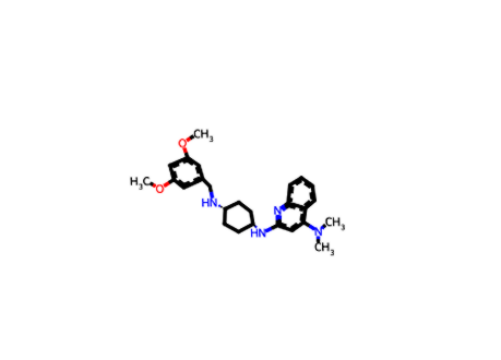 COc1cc(CN[C@H]2CC[C@@H](Nc3cc(N(C)C)c4ccccc4n3)CC2)cc(OC)c1